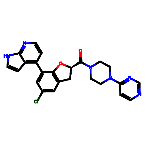 O=C([C@H]1Cc2cc(Cl)cc(-c3ccnc4[nH]ccc34)c2O1)N1CCN(c2ccncn2)CC1